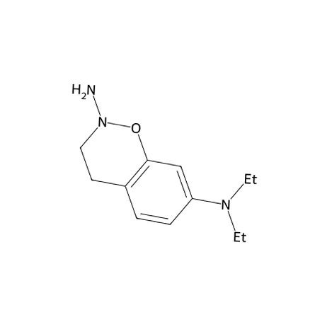 CCN(CC)c1ccc2c(c1)ON(N)CC2